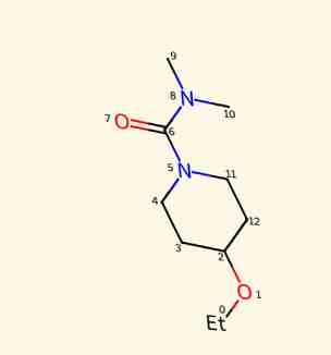 CCOC1CCN(C(=O)N(C)C)CC1